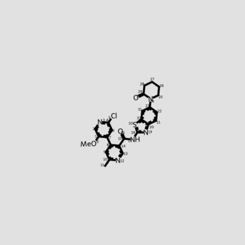 COc1cnc(Cl)cc1-c1cc(C)ncc1C(=O)Nc1nc2ccc(N3CCCCC3=O)cc2s1